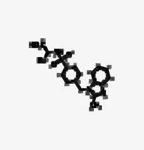 CC[C@H](C)[C@H](NS(=O)(=O)c1ccc(Cn2c(C)nc3ccccc32)cc1)C(=O)O